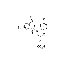 CCOc1nn(CC)cc1S(=O)(=O)N1CC(CCC(=O)O)Oc2ccc(Br)cc21